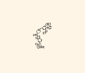 CCOc1cc(CN2CCC(Nc3nc4cc(OC(=O)OC)ccc4s3)CC2)cc(OCC)c1-n1cccc1